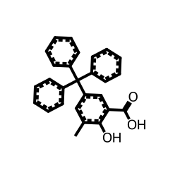 Cc1cc(C(c2ccccc2)(c2ccccc2)c2ccccc2)cc(C(=O)O)c1O